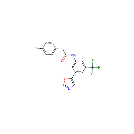 O=C(Cc1ccc(F)cc1)Nc1cc(-c2cnco2)cc(C(F)(F)F)c1